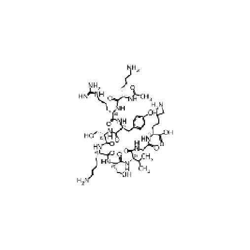 CC(=O)N[C@@H](CCCCN)C(=O)N[C@@H](CCCNC(=N)N)C(=O)N[C@@H](Cc1ccc(O)cc1)C(=O)N[C@@H](CO)C(=O)N[C@@H](CCCCN)C(=O)N[C@@H](CO)C(=O)N[C@H](C(=O)NCC(=O)N[C@@H](CCCCN)C(=O)O)C(C)C